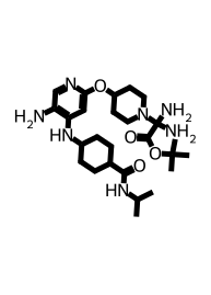 CC(C)NC(=O)C1CCC(Nc2cc(OC3CCN(C(N)(N)C(=O)OC(C)(C)C)CC3)ncc2N)CC1